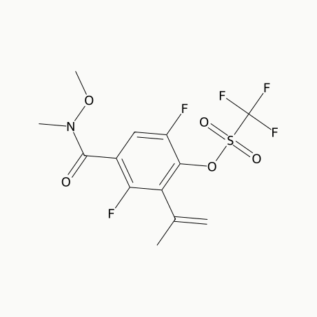 C=C(C)c1c(F)c(C(=O)N(C)OC)cc(F)c1OS(=O)(=O)C(F)(F)F